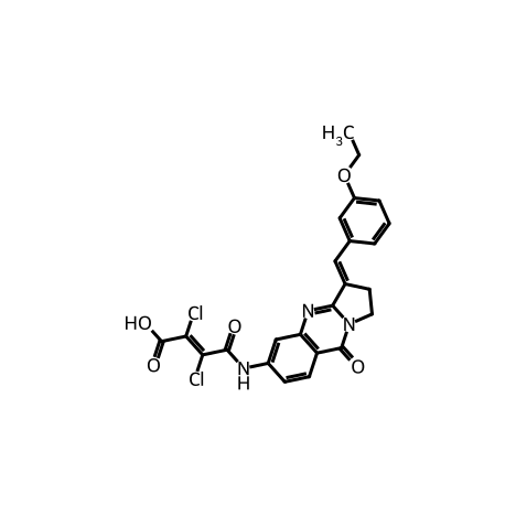 CCOc1cccc(C=C2CCn3c2nc2cc(NC(=O)C(Cl)=C(Cl)C(=O)O)ccc2c3=O)c1